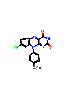 COc1ccc(-n2c3nc(=O)[nH]c(=O)c-3nc3ccc(Cl)cc32)cc1